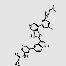 CN(C)CCNc1cc(F)cc(-c2cncc3c2NC(c2n[nH]c4ccc(-c5cncc(NC(=O)C6CC6)c5)cc24)N3)c1